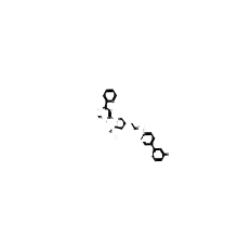 Cc1nc(N2C[C@@H](CC(=O)Nc3ccc(-c4cccc(F)c4)cc3)C[C@H]2C(=O)O)c2oc3ccccc3c2n1